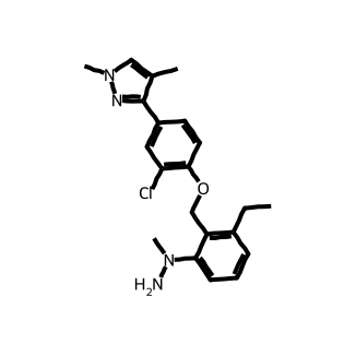 CCc1cccc(N(C)N)c1COc1ccc(-c2nn(C)cc2C)cc1Cl